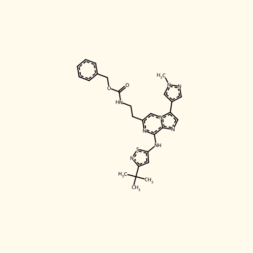 Cn1cc(-c2cnc3c(Nc4cc(C(C)(C)C)ns4)nc(CCNC(=O)OCc4ccccc4)cn23)cn1